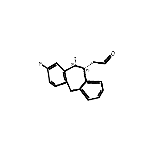 C[C@H]1c2cc(F)ccc2Cc2ccccc2[C@H]1CC=O